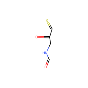 O=CNCC(=O)C=S